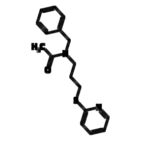 CC(=O)N(CCCSc1ccccn1)Cc1ccccc1